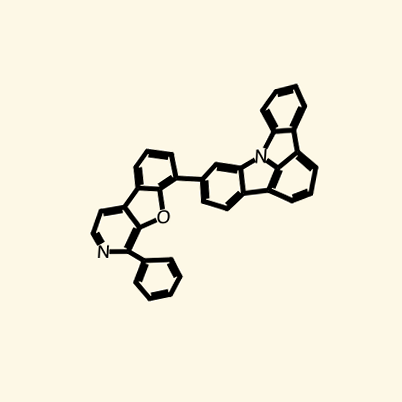 c1ccc(-c2nccc3c2oc2c(-c4ccc5c6cccc7c8ccccc8n(c5c4)c76)cccc23)cc1